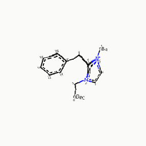 CCCCCCCCCCCn1cc[n+](CCCC)c1Cc1ccccc1